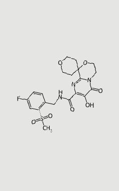 CS(=O)(=O)c1cc(F)ccc1CNC(=O)c1nc2n(c(=O)c1O)CCOC21CCOCC1